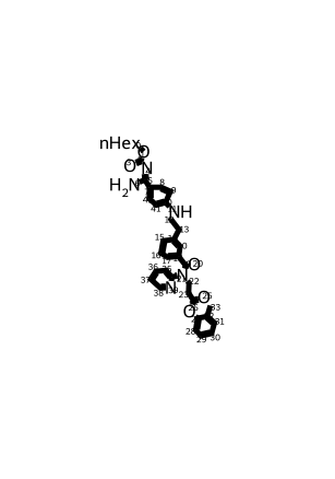 CCCCCCOC(=O)/N=C(\N)c1ccc(NCCc2cccc(C(=O)N(CCC(=O)Oc3ccccc3C)c3ccccn3)c2)cc1